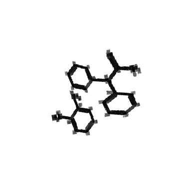 NC(=O)N(c1ccccc1)c1ccccc1.Nc1ccccc1N